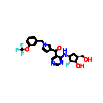 O=C(c1ccn(Cc2cccc(OC(F)(F)F)c2)c1)c1cncnc1N[C@@H]1C[C@H](CO)[C@@H](O)[C@@H]1F